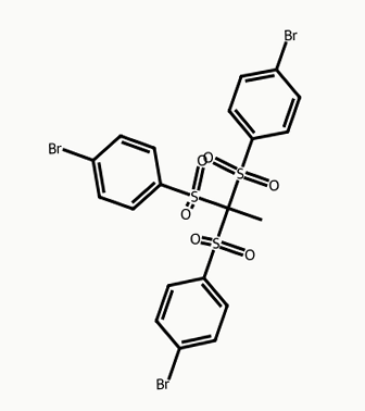 CC(S(=O)(=O)c1ccc(Br)cc1)(S(=O)(=O)c1ccc(Br)cc1)S(=O)(=O)c1ccc(Br)cc1